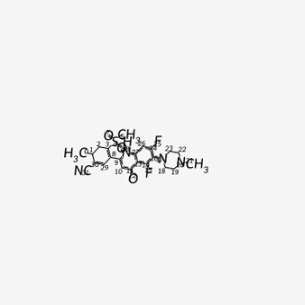 CC1CC(S(C)(=O)=O)=C(c2cc(=O)c3c(F)c(N4CCN(C)CC4)c(F)cc3[nH]2)C=C1C#N